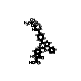 CC(C)(C)OC(=O)N[C@H](CF)C1CCC(C(=O)N2CC[C@H](c3ccccc3)[C@@H]2C(=O)Nc2ccc3[nH]c(C(=O)O)c(Cl)c3c2)CC1